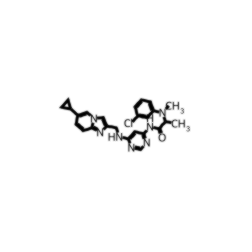 CC(C(=O)Nc1cc(NCc2cn3cc(C4CC4)ccc3n2)ncn1)N(C)c1cccc(Cl)c1